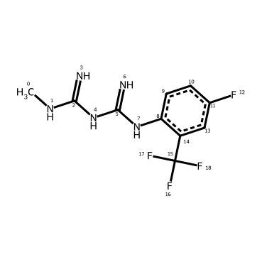 CNC(=N)NC(=N)Nc1ccc(F)cc1C(F)(F)F